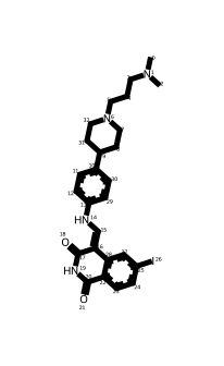 CN(C)CCCN1CCC(c2ccc(NC=C3C(=O)NC(=O)c4ccc(I)cc43)cc2)CC1